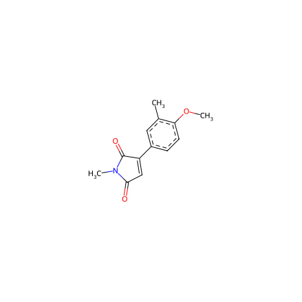 COc1ccc(C2=CC(=O)N(C)C2=O)cc1C